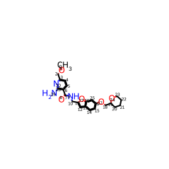 COCc1ccc(C(=O)NCc2cc3ccc(OCC4CCCCO4)cc3o2)c(N)n1